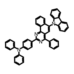 c1ccc(-c2nc(-c3ccc(N(c4ccccc4)c4ccccc4)cc3)nc3c2cc(-n2c4ccccc4c4ccccc42)c2ccccc23)cc1